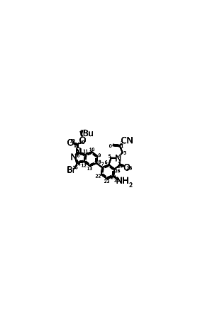 C=C(C#N)CN1Cc2c(-c3ccc4c(c3)c(Br)nn4C(=O)OC(C)(C)C)ccc(N)c2C1=O